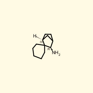 N[C@@H]1C2CC[C@@H](C2)C12CCCCC2